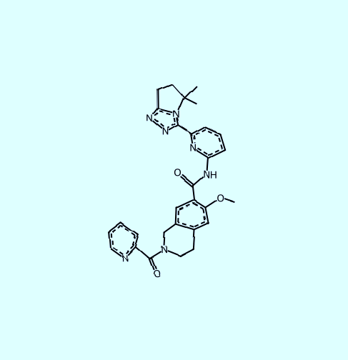 COc1cc2c(cc1C(=O)Nc1cccc(-c3nnc4n3C(C)(C)CC4)n1)CN(C(=O)c1ccccn1)CC2